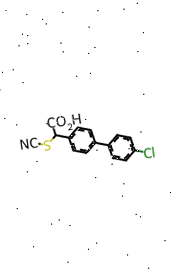 N#CSC(C(=O)O)c1ccc(-c2ccc(Cl)cc2)cc1